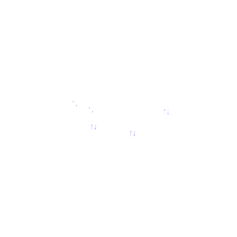 c1ccc(-c2cc(-n3c4ccccc4c4c5c6ccccc6n(-c6ccc(-n7c8ccccc8c8ccccc87)cc6)c5ccc43)nc(-c3ccccc3)n2)cc1